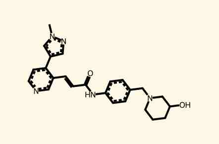 Cn1cc(-c2ccncc2/C=C/C(=O)Nc2ccc(CN3CCCC(O)C3)cc2)cn1